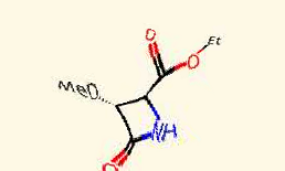 CCOC(=O)[C@H]1NC(=O)[C@@H]1OC